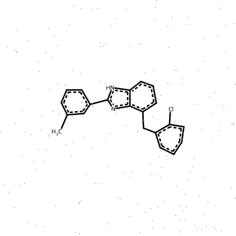 Cc1cccc(-c2nc3c(Cc4ccccc4Cl)cccc3[nH]2)c1